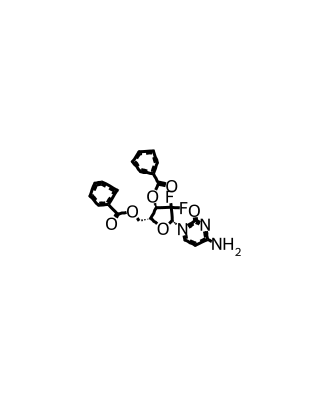 Nc1ccn([C@@H]2O[C@H](COC(=O)c3ccccc3)[C@@H](OC(=O)c3ccccc3)C2(F)F)c(=O)n1